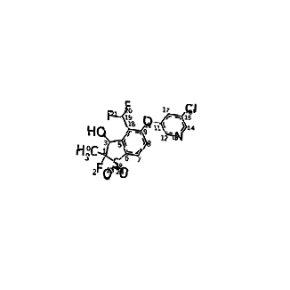 CC1(F)C(O)c2c(ccc(Oc3cncc(Cl)c3)c2C(F)F)S1(=O)=O